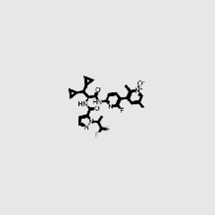 Cc1cc(-c2ccc(NC(=O)[C@@H](NC(=O)c3ccnn3C(C)C(F)F)C(C3CC3)C3CC3)nc2F)c(C)[n+]([O-])c1